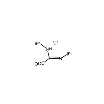 CC(C)N=C(NC(C)C)C(=O)[O-].[Li+]